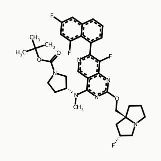 CN(c1nc(OC[C@@]23CCCN2C[C@H](F)C3)nc2c(F)c(-c3cccc4cc(F)cc(F)c34)ncc12)[C@@H]1CCN(C(=O)OC(C)(C)C)C1